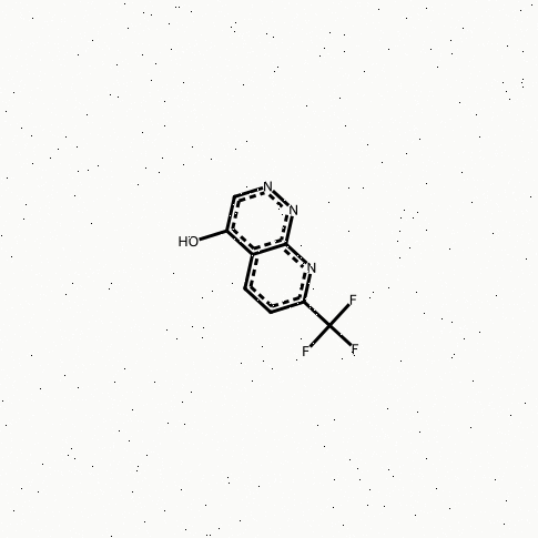 Oc1cnnc2nc(C(F)(F)F)ccc12